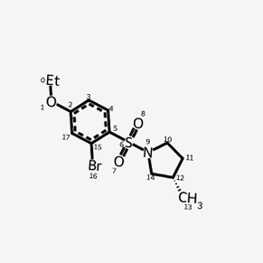 CCOc1ccc(S(=O)(=O)N2CC[C@H](C)C2)c(Br)c1